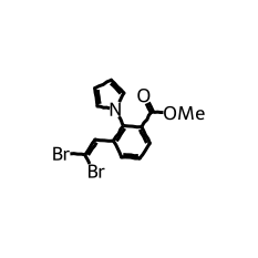 COC(=O)c1cccc(C=C(Br)Br)c1-n1cccc1